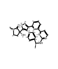 C[C@H](Nc1nccc(-c2cccc(-c3cc([C@]4(O)CCN(C)C4=O)on3)n2)n1)c1ccncc1